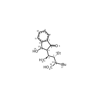 CC[C@@H]([C@@H](C)C1C(=O)c2ccccc2N1O)N(C(=O)O)C(C)(C)C